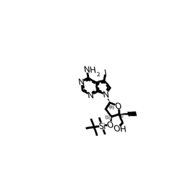 C#C[C@]1(CO)O[C@@H](n2cc(I)c3c(N)ncnc32)C[C@@H]1O[Si](C)(C)C(C)(C)C